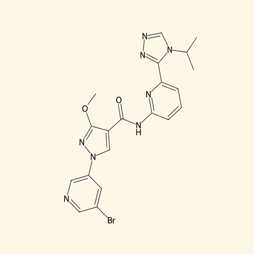 COc1nn(-c2cncc(Br)c2)cc1C(=O)Nc1cccc(-c2nncn2C(C)C)n1